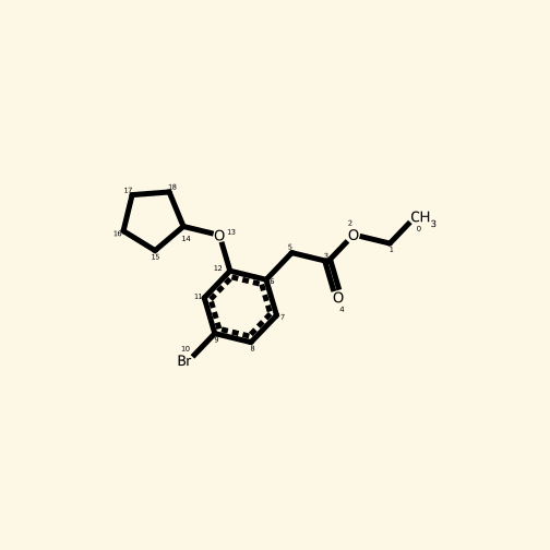 CCOC(=O)Cc1ccc(Br)cc1OC1CCCC1